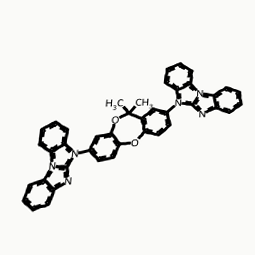 CC1(C)Oc2cc(-n3c4ccccc4n4c5ccccc5nc34)ccc2Oc2ccc(-n3c4ccccc4n4c5ccccc5nc34)cc21